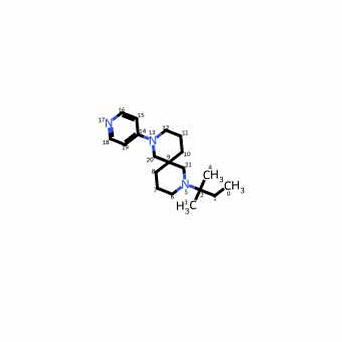 CCC(C)(C)N1CCCC2(CCCN(c3ccncc3)C2)C1